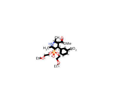 CCOCCOP(=O)(OCCOCC)C1=C(C)NC(C)=C(C(=O)OC)C1c1cccc([N+](=O)[O-])c1